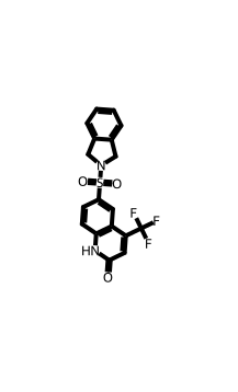 O=c1cc(C(F)(F)F)c2cc(S(=O)(=O)N3Cc4ccccc4C3)ccc2[nH]1